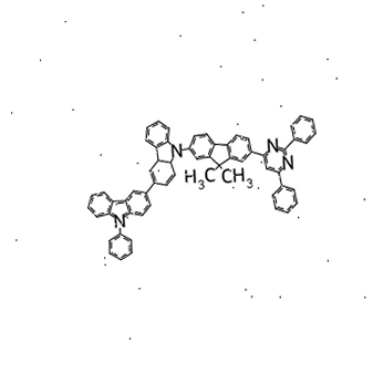 CC1(C)c2cc(-c3cc(-c4ccccc4)nc(-c4ccccc4)n3)ccc2-c2ccc(N3c4ccccc4C4C=C(c5ccc6c(c5)c5ccccc5n6-c5ccccc5)C=CC43)cc21